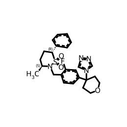 C[C@H]1CC[C@H](c2ccccc2)S(=O)(=O)N1Cc1ccc(C2(n3cnnc3)CCOCC2)cc1F